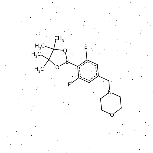 CC1(C)OB(c2c(F)cc(CN3CCOCC3)cc2F)OC1(C)C